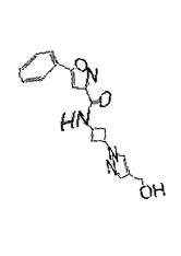 O=C(NC1CC(n2cc(CO)cn2)C1)c1cc(-c2ccccc2)on1